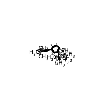 C[Si](C)(C)C#Cc1cccc(N([Si](C)(C)C)[Si](C)(C)C)c1